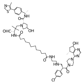 Cc1ncsc1-c1ccc([C@H](C)NC(=O)[C@@H]2C[C@@H](O)CN2CC(C)(C)[C@@H](C=O)NC(=O)CCCCCCCCCCC(=O)NCCNC[C@@H](C(=O)N2CCN(c3ncnc4c3[C@H](C)C[C@H]4O)CC2)c2ccc(Cl)cc2)cc1